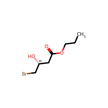 CCCOC(=O)C[C@@H](O)CBr